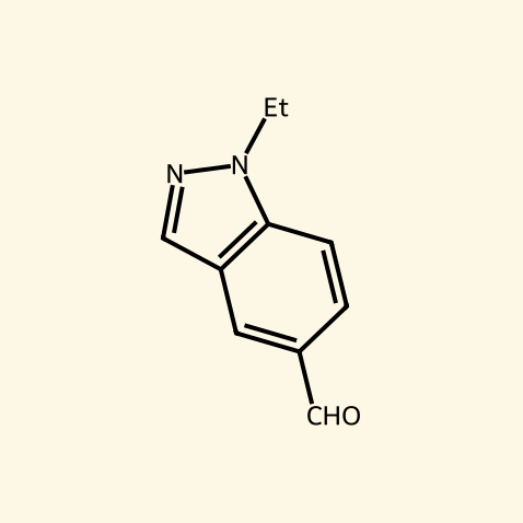 CCn1ncc2cc(C=O)ccc21